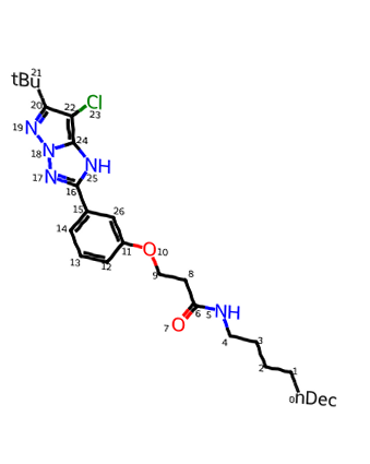 CCCCCCCCCCCCCCNC(=O)CCOc1cccc(-c2nn3nc(C(C)(C)C)c(Cl)c3[nH]2)c1